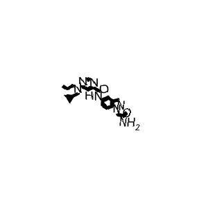 CCCN(CC1CC1)c1cc(C(=O)Nc2ccc3c(cnn3CC(N)=O)c2)ncn1